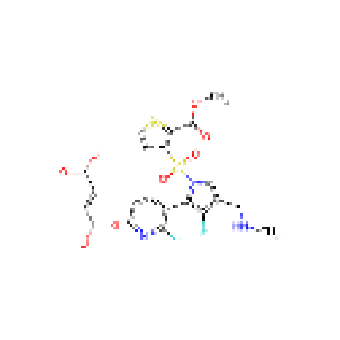 CNCc1cn(S(=O)(=O)c2ccsc2C(=O)OC)c(-c2cccnc2F)c1F.O=C(O)/C=C/C(=O)O